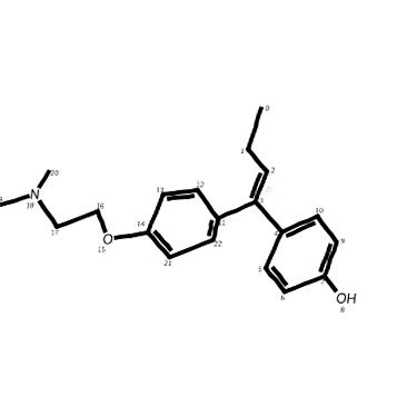 CC/C=C(/c1ccc(O)cc1)c1ccc(OCCN(C)C)cc1